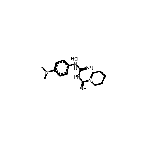 CN(C)c1ccc(NC(=N)NC(=N)N2CCCCC2)cc1.Cl